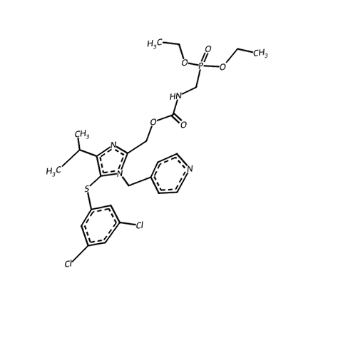 CCOP(=O)(CNC(=O)OCc1nc(C(C)C)c(Sc2cc(Cl)cc(Cl)c2)n1Cc1ccncc1)OCC